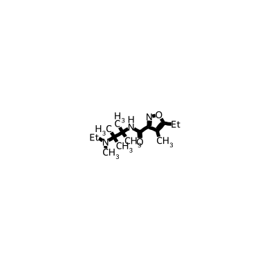 CCc1onc(C(=O)NC(C)(C)C(C)(C)N(C)CC)c1C